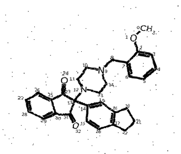 COc1ccccc1CN1CCN(C2(c3ccc4c(c3)CCC4)C(=O)c3ccccc3C2=O)CC1